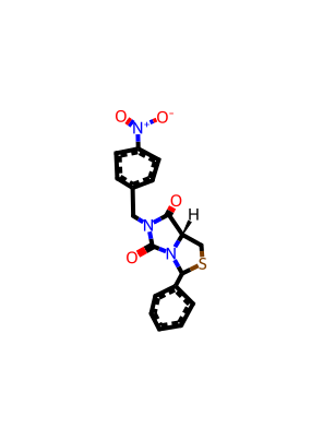 O=C1[C@@H]2CSC(c3ccccc3)N2C(=O)N1Cc1ccc([N+](=O)[O-])cc1